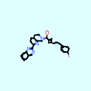 O=C(N1CCc2ccc(-c3ncc4ccccc4n3)nc2C1)C12CC(/C=C/c3ccc(I)cc3)(C1)C2